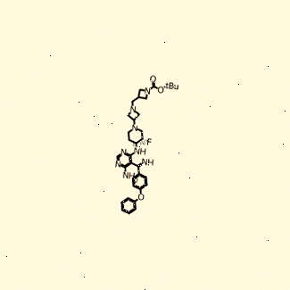 CC(C)(C)OC(=O)N1CC(CN2CC(N3CC[C@H](Nc4ncnc(N)c4C(=N)c4ccc(Oc5ccccc5)cc4)[C@@H](F)C3)C2)C1